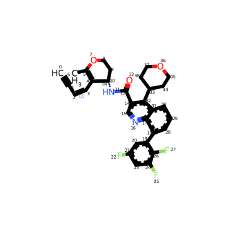 C#C/C=C\C1=C(C)OCC[C@@H]1NC(=O)c1cnc2c(-c3cc(F)cc(F)c3F)cccc2c1C1CCOCC1